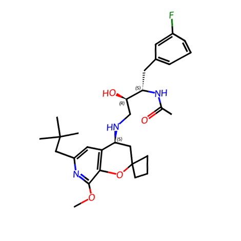 COc1nc(CC(C)(C)C)cc2c1OC1(CCC1)C[C@@H]2NC[C@@H](O)[C@H](Cc1cccc(F)c1)NC(C)=O